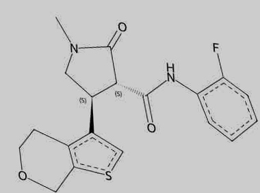 CN1C[C@H](c2csc3c2CCOC3)[C@@H](C(=O)Nc2ccccc2F)C1=O